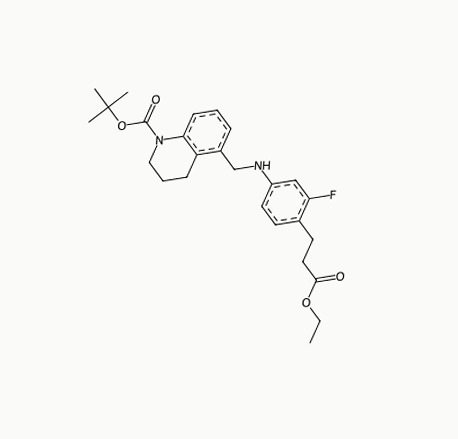 CCOC(=O)CCc1ccc(NCc2cccc3c2CCCN3C(=O)OC(C)(C)C)cc1F